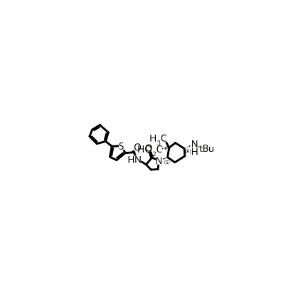 CC(C)(C)N[C@@H]1CC[C@H](N2CCC(NC(=O)c3ccc(-c4ccccc4)s3)C2=O)[C@](C)(C(=O)O)C1